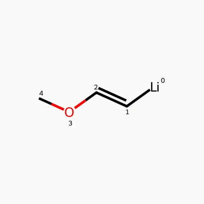 [Li][CH]=COC